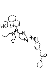 C=CCn1c(=O)c2cnc(Nc3ccc(CCC(=O)N4CCCC4)cc3)nc2n1-c1ccc2c(n1)C(C)(O)CCC2